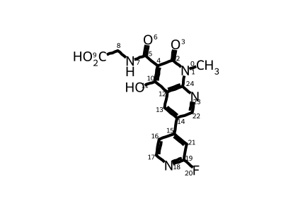 Cn1c(=O)c(C(=O)NCC(=O)O)c(O)c2cc(-c3ccnc(F)c3)cnc21